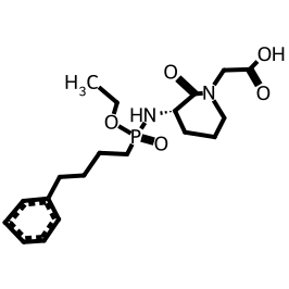 CCOP(=O)(CCCCc1ccccc1)N[C@H]1CCCN(CC(=O)O)C1=O